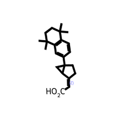 CC1(C)CCC(C)(C)c2cc(C34CC/C(=C/C(=O)O)C3C4)ccc21